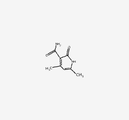 Cc1cc(C)c(C(N)=O)c(=O)[nH]1